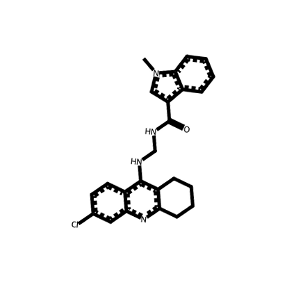 Cn1cc(C(=O)NCNc2c3c(nc4cc(Cl)ccc24)CCCC3)c2ccccc21